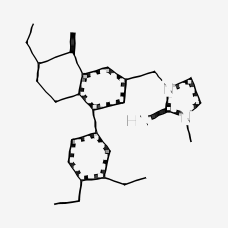 C=C1c2cc(Cn3ccn(C)c3=N)cc(-c3ccc(CC)c(CC)c3)c2CCC1CC